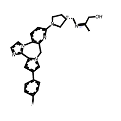 C/C(CO)=N/C[C@H]1CCN(c2ccc3c(n2)Cn2cc(-c4ccc(F)cc4)cc2-c2nccn2-3)C1